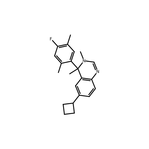 Cc1cc(C2(C)c3cc(C4CCC4)ccc3N=CN2C)c(C)cc1F